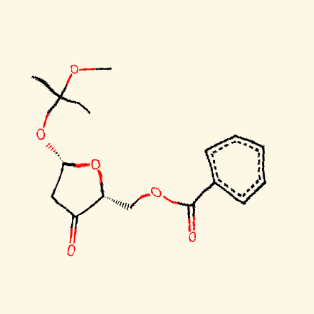 COC(C)(C)O[C@H]1CC(=O)[C@@H](COC(=O)c2ccccc2)O1